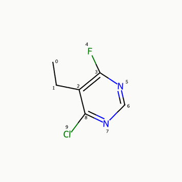 CCc1c(F)ncnc1Cl